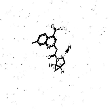 Cc1ccc2c(C(N)=O)cc(CC(=O)N3[C@H](C#N)C[C@@H]4C[C@@H]43)nc2c1